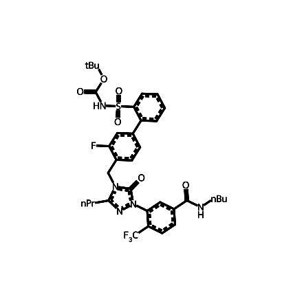 CCCCNC(=O)c1ccc(C(F)(F)F)c(-n2nc(CCC)n(Cc3ccc(-c4ccccc4S(=O)(=O)NC(=O)OC(C)(C)C)cc3F)c2=O)c1